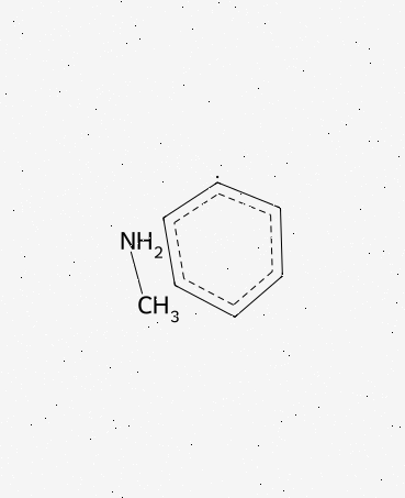 CN.[c]1ccccc1